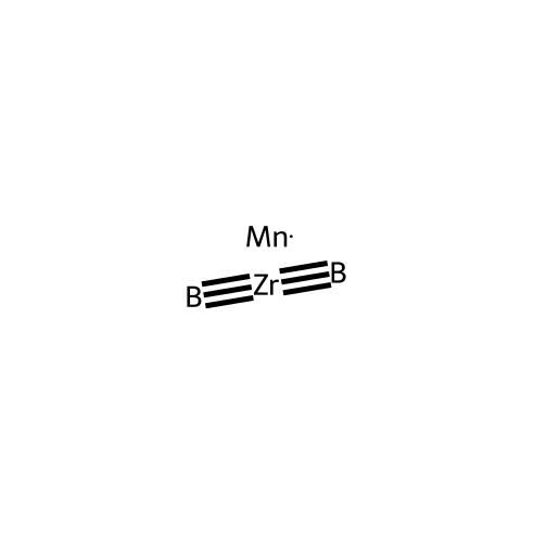 [B]#[Zr]#[B].[Mn]